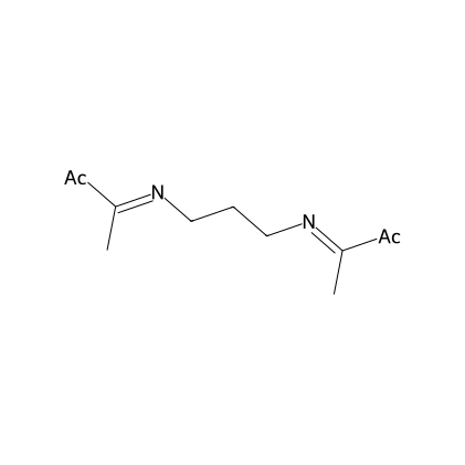 CC(=O)C(C)=NCCCN=C(C)C(C)=O